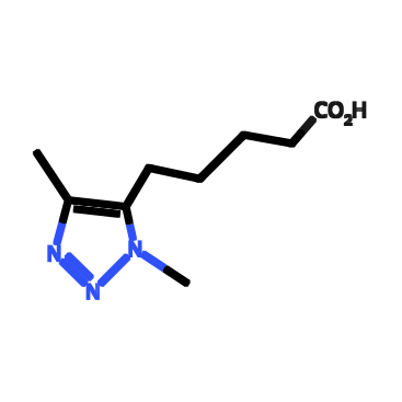 Cc1nnn(C)c1CCCCC(=O)O